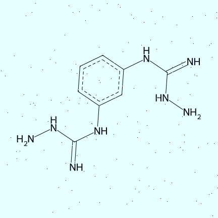 N=C(NN)Nc1cccc(NC(=N)NN)c1